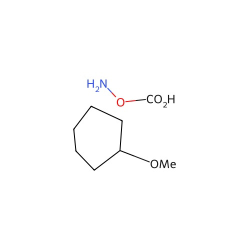 COC1CCCCC1.NOC(=O)O